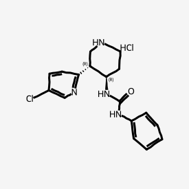 Cl.O=C(Nc1ccccc1)N[C@@H]1CCNC[C@H]1c1ccc(Cl)cn1